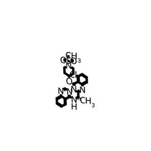 C[C@H](Nc1ncnc2ccccc12)c1nc(OC2CCN(S(C)(=O)=O)CC2)c2c(Cl)cccc2n1